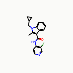 Cc1c(C(=O)Nc2ccncc2F)c2ccccc2n1CC1CC1